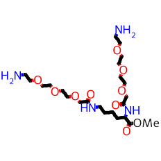 COC(=O)C(CCCCNC(=O)COCCOCCOCCN)NC(=O)COCCOCCOCCN